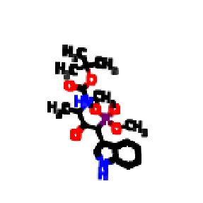 COP(=O)(OC)C(C(=O)C(C)NC(=O)OC(C)(C)C)c1c[nH]c2ccccc12